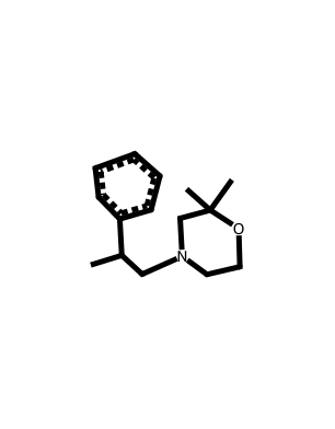 CC(CN1CCOC(C)(C)C1)c1ccccc1